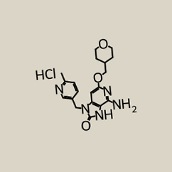 Cc1ccc(Cn2c(=O)[nH]c3c(N)nc(OCC4CCOCC4)cc32)cn1.Cl